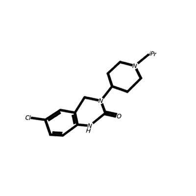 CC(C)N1CCC(N2Cc3cc(Cl)ccc3NC2=O)CC1